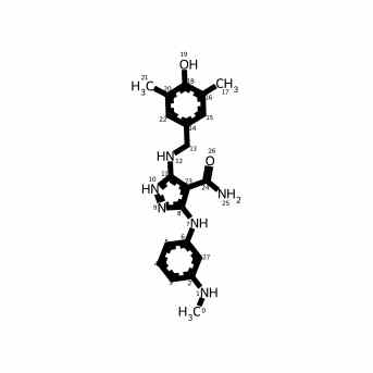 CNc1cccc(Nc2n[nH]c(NCc3cc(C)c(O)c(C)c3)c2C(N)=O)c1